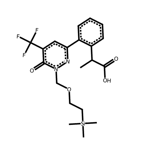 CC(C(=O)O)c1ccccc1-c1cc(C(F)(F)F)c(=O)n(COCC[Si](C)(C)C)n1